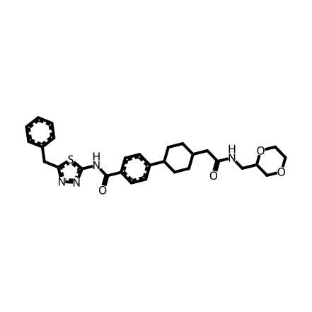 O=C(CC1CCC(c2ccc(C(=O)Nc3nnc(Cc4ccccc4)s3)cc2)CC1)NCC1COCCO1